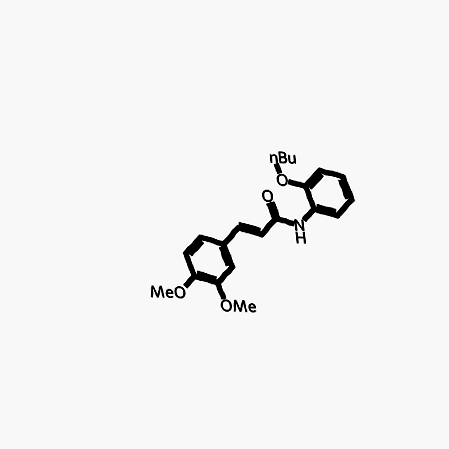 CCCCOc1ccccc1NC(=O)/C=C/c1ccc(OC)c(OC)c1